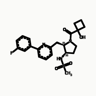 CS(=O)(=O)N[C@@H]1CCN(C(=O)C2(O)CCC2)[C@@H]1Cc1cccc(-c2cccc(F)c2)n1